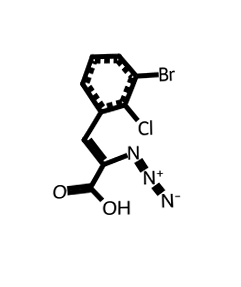 [N-]=[N+]=N/C(=C\c1cccc(Br)c1Cl)C(=O)O